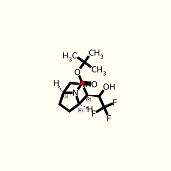 CC(C)(C)OC(=O)N1[C@H]2CC[C@@H]1[C@H](C(O)C(F)(F)F)NC2